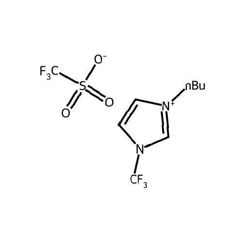 CCCC[n+]1ccn(C(F)(F)F)c1.O=S(=O)([O-])C(F)(F)F